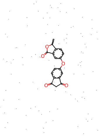 C=C1OC(=O)c2cc(Oc3ccc4c(c3)C(=O)CC4=O)ccc21